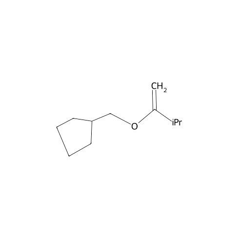 C=C(OCC1CCCC1)C(C)C